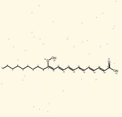 CCCCCCCCCC(=CC=CC=CC=CC=CC=CC(=O)O)OO